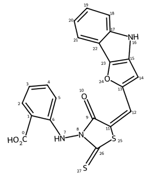 O=C(O)c1ccccc1NN1C(=O)C(=Cc2cc3[nH]c4ccccc4c3o2)SC1=S